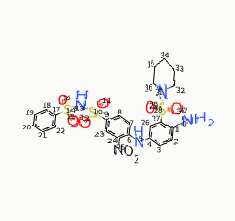 Nc1ccc(Nc2ccc(S(=O)(=O)NS(=O)(=O)c3ccccc3)cc2[N+](=O)[O-])cc1S(=O)(=O)N1CCCCC1